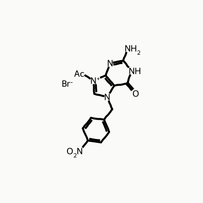 CC(=O)[n+]1cn(Cc2ccc([N+](=O)[O-])cc2)c2c(=O)[nH]c(N)nc21.[Br-]